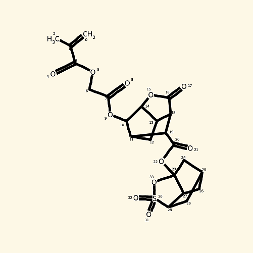 C=C(C)C(=O)OCC(=O)OC1C2CC3C1OC(=O)C3C2C(=O)OC12CC3CC1C(C3)S(=O)(=O)O2